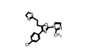 Cc1nccn1-c1nc(-c2ccc(Cl)cc2)c(CCC2=NCCS2)o1